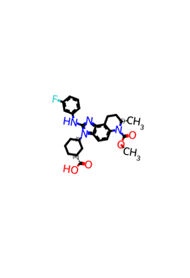 COC(=O)N1c2ccc3c(nc(Nc4cccc(F)c4)n3[C@@H]3CCC[C@@H](C(=O)O)C3)c2CC[C@@H]1C